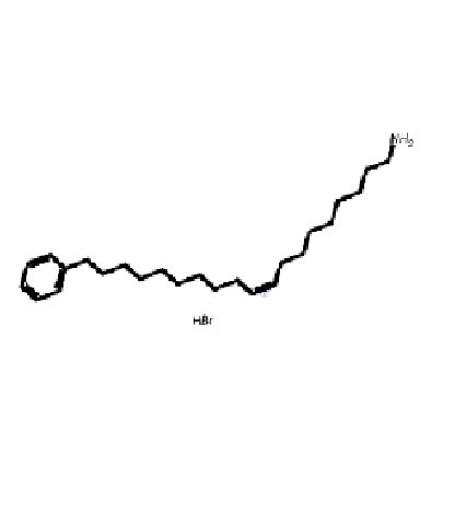 Br.NCCCCCCCC/C=C\CCCCCCCCCc1ccccc1